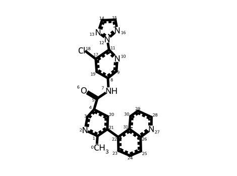 Cc1ncc(C(=O)Nc2cnc(-n3nccn3)c(Cl)c2)cc1-c1cccc2ncccc12